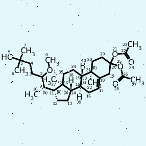 COC(CCC(C)(C)O)[C@@H](C)[C@H]1CC[C@H]2[C@@H]3CC=C4CC(OC(C)=O)(OC(C)=O)CC[C@]4(C)[C@H]3CC[C@]12C